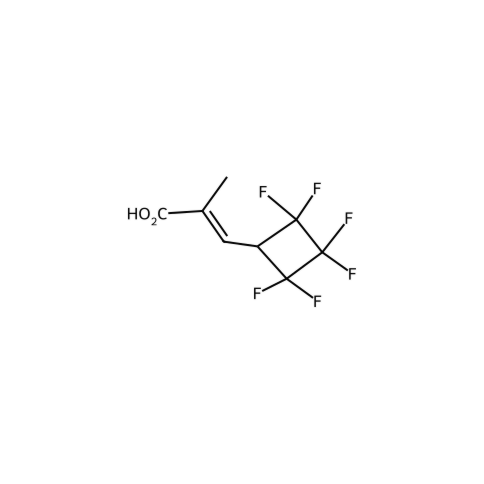 CC(=CC1C(F)(F)C(F)(F)C1(F)F)C(=O)O